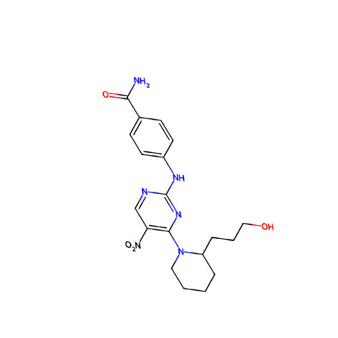 NC(=O)c1ccc(Nc2ncc([N+](=O)[O-])c(N3CCCCC3CCCO)n2)cc1